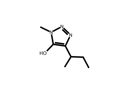 CCC(C)c1nnn(C)c1O